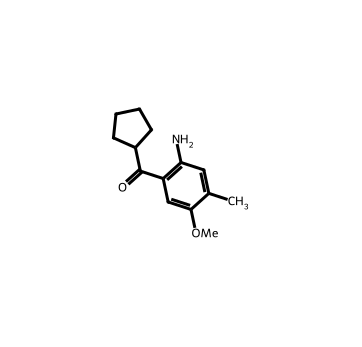 COc1cc(C(=O)C2CCCC2)c(N)cc1C